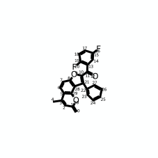 C=C1C=C(C)c2ccc3oc(C(=O)c4cc(F)ccc4F)c(-c4ccccc4)c3c2O1